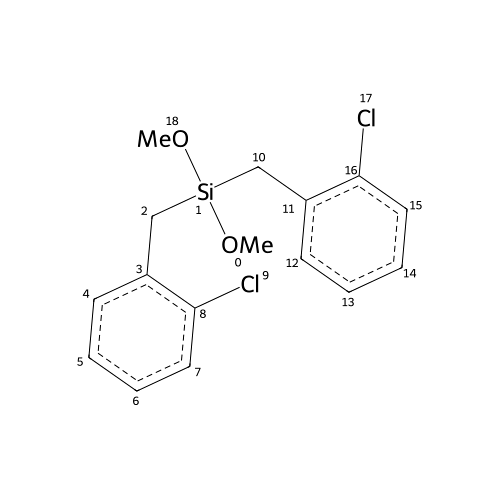 CO[Si](Cc1ccccc1Cl)(Cc1ccccc1Cl)OC